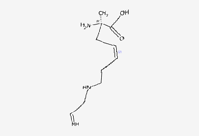 C[C@@](N)(C/C=C\CCNCC=N)C(=O)O